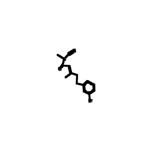 C/C(=C\C(=O)N(C)C#N)CCc1cccc(Br)c1